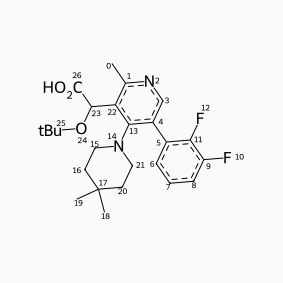 Cc1ncc(-c2cccc(F)c2F)c(N2CCC(C)(C)CC2)c1C(OC(C)(C)C)C(=O)O